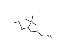 CCOC(COCN)[Si](C)(C)C